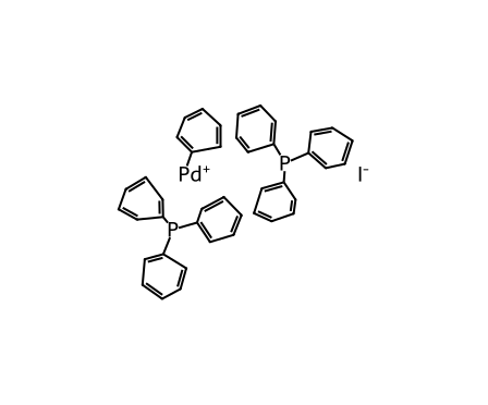 [I-].[Pd+][c]1ccccc1.c1ccc(P(c2ccccc2)c2ccccc2)cc1.c1ccc(P(c2ccccc2)c2ccccc2)cc1